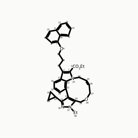 CCOC(=O)c1c(CCCOc2cccc3ccccc23)c2cccc3c2n1C/C=C\COCc1c-3c(C2CC2)nn1CC